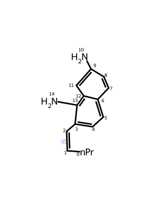 CCC/C=C\c1ccc2ccc(N)cc2c1N